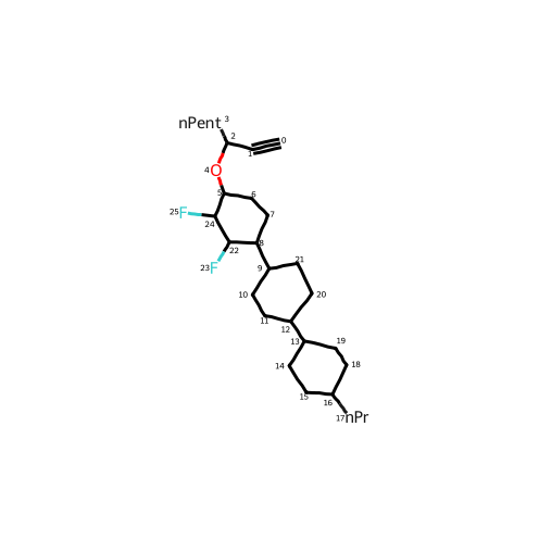 C#CC(CCCCC)OC1CCC(C2CCC(C3CCC(CCC)CC3)CC2)C(F)C1F